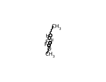 C/C=C/COc1cc(F)c2c(F)c([C@@H]3CC[C@@H]4CC(CCCCCC)CCC4C3)c(F)cc2c1